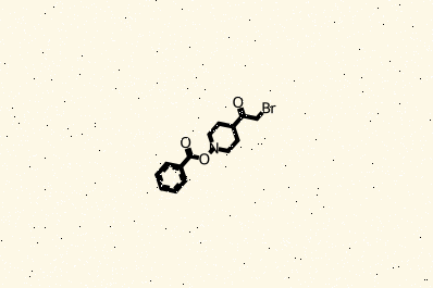 O=C(ON1CCC(C(=O)CBr)CC1)c1ccccc1